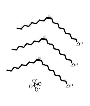 CCCCCCCC/C=C\CCCCCCC[CH2][Zn+].CCCCCCCC/C=C\CCCCCCC[CH2][Zn+].CCCCCCCC/C=C\CCCCCCC[CH2][Zn+].O=P([O-])([O-])[O-]